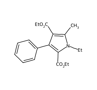 CCOC(=O)c1c(-c2ccccc2)c(C(=O)OCC)n(CC)c1C